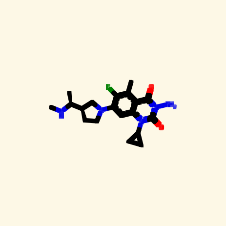 CN[C@@H](C)[C@@H]1CCN(c2cc3c(c(C)c2F)c(=O)n(N)c(=O)n3C2CC2)C1